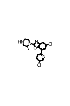 C[C@H]1CNCCN1c1nc2cc(Cl)cc(-c3ccc(Cl)cn3)c2o1